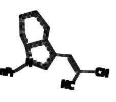 CCCn1cc(C=C(C#N)C#N)c2ccccc21